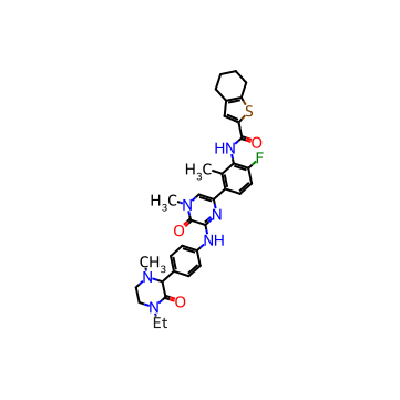 CCN1CCN(C)C(c2ccc(Nc3nc(-c4ccc(F)c(NC(=O)c5cc6c(s5)CCCC6)c4C)cn(C)c3=O)cc2)C1=O